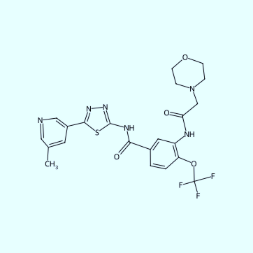 Cc1cncc(-c2nnc(NC(=O)c3ccc(OC(F)(F)F)c(NC(=O)CN4CCOCC4)c3)s2)c1